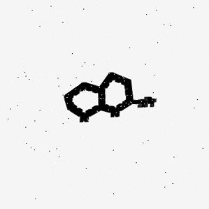 CCCc1ccc2cccnc2n1